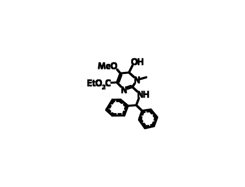 CCOC(=O)C1=C(OC)C(O)N(C)C(NC(c2ccccc2)c2ccccc2)=N1